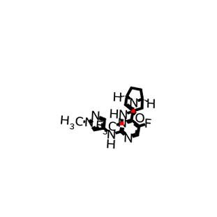 Cn1cc(Nc2ncc(F)c(C3=C[C@H]4CC[C@@H](C3)N4C(=O)NCC(F)(F)F)n2)cn1